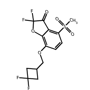 CS(=O)(=O)c1ccc(OCC2CC(F)(F)C2)c2c1C(=O)C(F)(F)O2